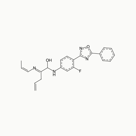 C=CC/C(=N\C=C/C)C(O)Nc1ccc(-c2noc(-c3ccccc3)n2)c(F)c1